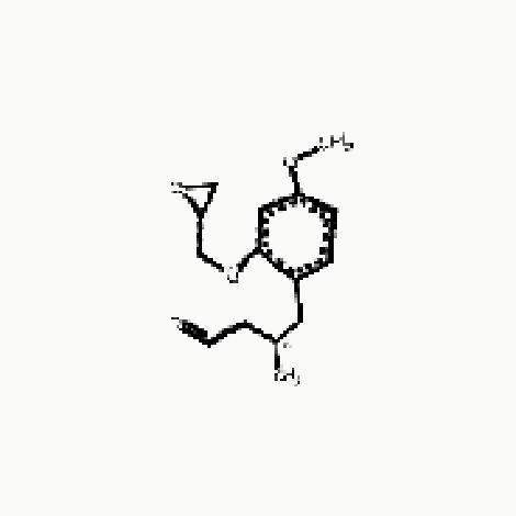 COc1ccc(C[C@@H](C)CC=O)c(OCC2CO2)c1